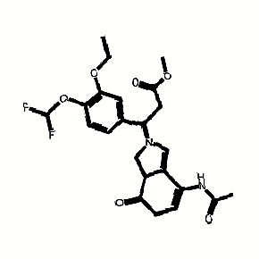 CCOc1cc(C(CC(=O)OC)N2C=C3C(NC(C)=O)=CCC(=O)C3C2)ccc1OC(F)F